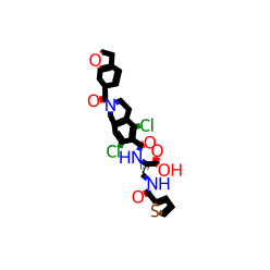 O=C(NC[C@H](NC(=O)c1c(Cl)cc2c(c1Cl)CCN(C(=O)C1C=CC3=C(C1)OCC3)C2)C(=O)O)c1cccs1